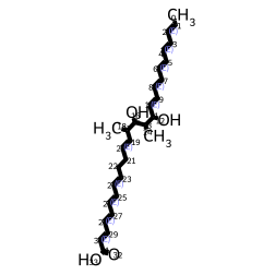 C/C=C/C=C/C=C/C=C/C=C/C(O)C(C)C(O)C(C)/C=C/CC/C=C/C=C/C=C/C=C/C(=O)O